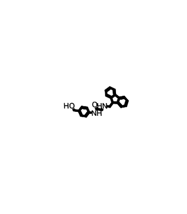 O=C(CNCC1c2ccccc2-c2ccccc21)Nc1ccc(CO)cc1